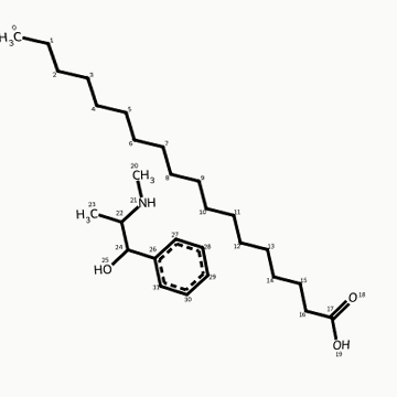 CCCCCCCCCCCCCCCCCC(=O)O.CNC(C)C(O)c1ccccc1